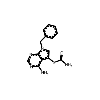 NC(=O)Sc1cn(Cc2ccccc2)c2ncnc(N)c12